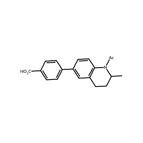 CC(=O)N1c2ccc(-c3ccc(C(=O)O)cc3)cc2CCC1C